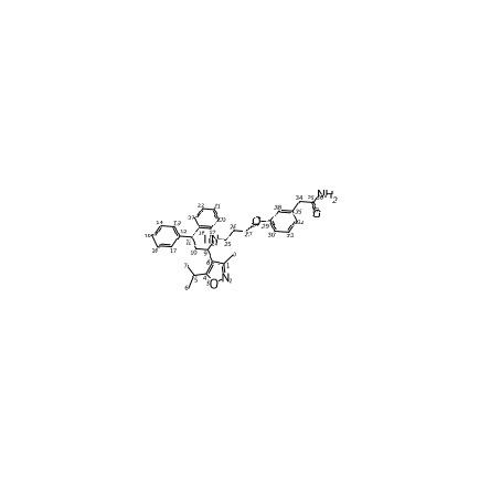 Cc1noc(C(C)C)c1C(CC(c1ccccc1)c1ccccc1)NCCCOc1cccc(CC(N)=O)c1